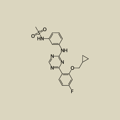 CS(=O)(=O)Nc1cccc(Nc2ncnc(-c3ccc(F)cc3OCC3CC3)n2)c1